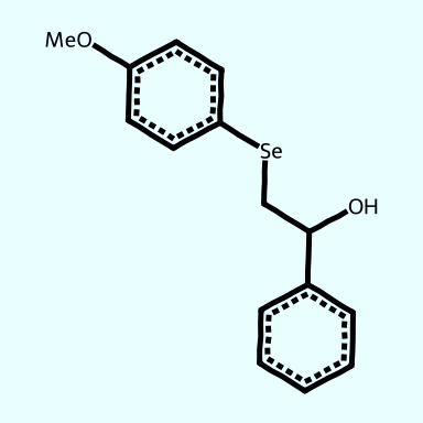 COc1ccc([Se]CC(O)c2ccccc2)cc1